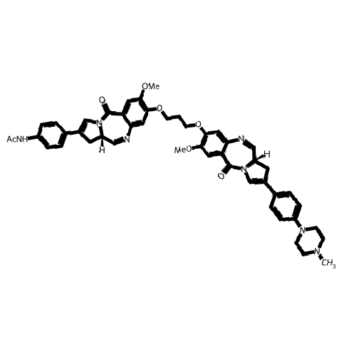 COc1cc2c(cc1OCCCOc1cc3c(cc1OC)C(=O)N1C=C(c4ccc(N5CCN(C)CC5)cc4)C[C@H]1C=N3)N=C[C@@H]1CC(c3ccc(NC(C)=O)cc3)=CN1C2=O